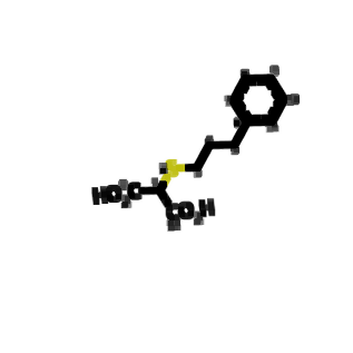 O=C(O)C(SCCCc1ccccc1)C(=O)O